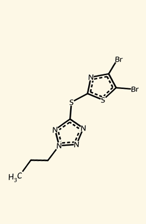 CCCn1nnc(Sc2nc(Br)c(Br)s2)n1